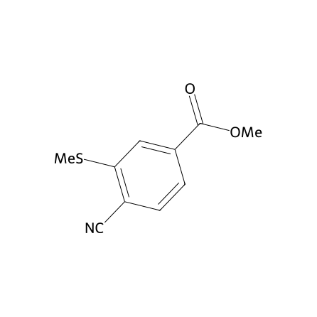 COC(=O)c1ccc(C#N)c(SC)c1